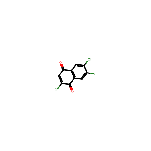 O=C1C=C(Cl)C(=O)c2cc(Cl)c(Cl)cc21